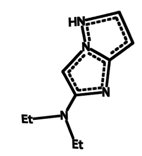 CCN(CC)c1cn2[nH]ccc2n1